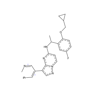 C/N=C\C(=C/C(C)C)c1cnn2ccc(NC(C)c3cc(F)ccc3OCC3CC3)nc12